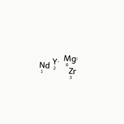 [Mg].[Nd].[Y].[Zr]